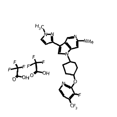 CNc1cc2c(cn1)c(-c1ccn(C)n1)cn2C1CCC(Oc2nccc(C(F)(F)F)c2F)CC1.O=C(O)C(F)(F)F.O=C(O)C(F)(F)F